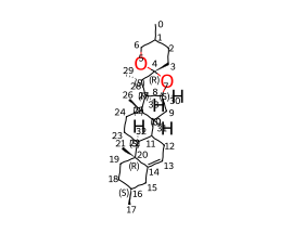 CC1CC[C@@]2(OC1)O[C@H]1C[C@H]3C4CC=C5C[C@@H](C)CC[C@]5(C)[C@H]4CC[C@]3(C)[C@H]1[C@@H]2C